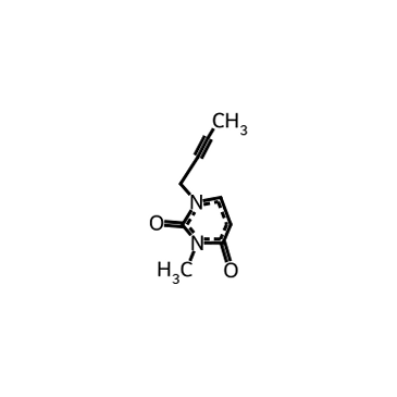 CC#CCn1ccc(=O)n(C)c1=O